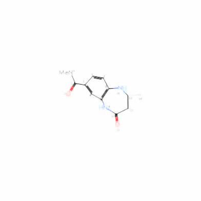 CNC(=O)c1ccc2c(c1)NC(=O)C[C@@H](C)N2